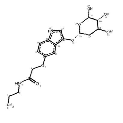 NCCNC(=O)COc1ccc2[nH]cc(O[C@H]3CC(O)[C@@H](O)C(O)O3)c2c1